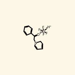 F[P-](F)(F)(F)(F)F.O=C(CN1C=CC=CC1)c1ccccc1.[H+]